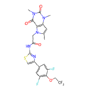 Cc1cc2c(c(=O)n(C)c(=O)n2C)n1CC(=O)Nc1nc(-c2cc(F)c(OCC(F)(F)F)c(F)c2)cs1